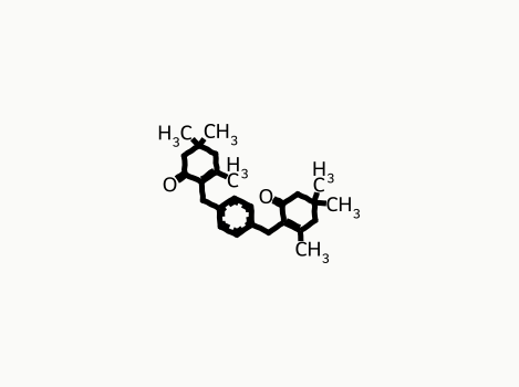 CC1=C(Cc2ccc(CC3=C(C)CC(C)(C)CC3=O)cc2)C(=O)CC(C)(C)C1